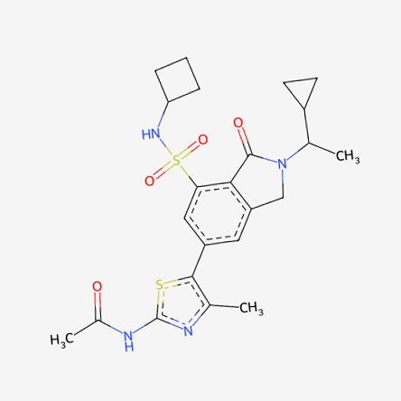 CC(=O)Nc1nc(C)c(-c2cc3c(c(S(=O)(=O)NC4CCC4)c2)C(=O)N(C(C)C2CC2)C3)s1